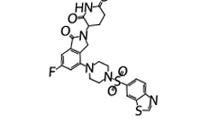 O=C1CCC(N2Cc3c(cc(F)cc3N3CCN(S(=O)(=O)c4ccc5ncsc5c4)CC3)C2=O)C(=O)N1